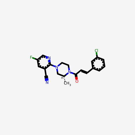 C[C@@H]1CN(c2ncc(F)cc2C#N)CCN1C(=O)C=Cc1cccc(Cl)c1